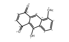 CC(=O)Oc1cccc2c(O)c3c(cc12)C(=O)C=CC3=O